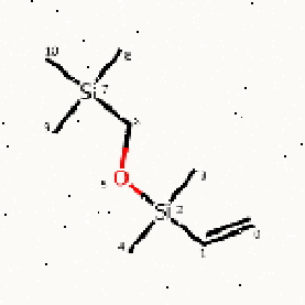 C=C[Si](C)(C)OC[Si](C)(C)C